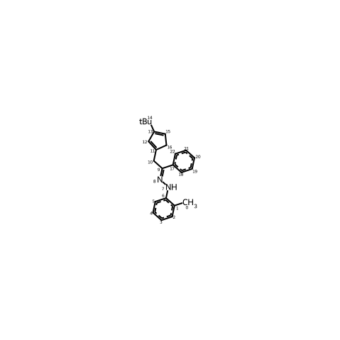 Cc1ccccc1NN=C(CC1=CC(C(C)(C)C)=CC1)c1ccccc1